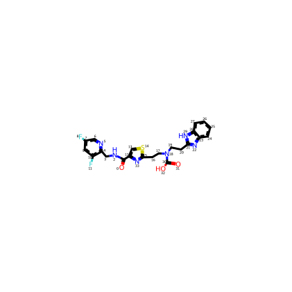 O=C(NCc1ncc(F)cc1F)c1csc(CCN(CCc2nc3ccccc3[nH]2)C(=O)O)n1